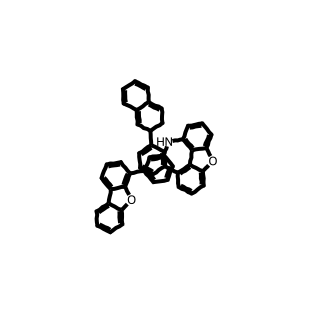 C1=c2ccccc2=CC(c2cccc(-c3cccc4oc5cccc(Nc6cccc(-c7cccc8c7oc7ccccc78)c6)c5c34)c2)C1